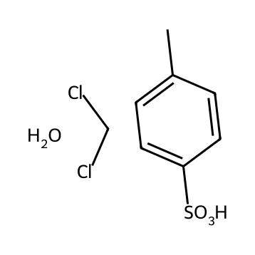 Cc1ccc(S(=O)(=O)O)cc1.ClCCl.O